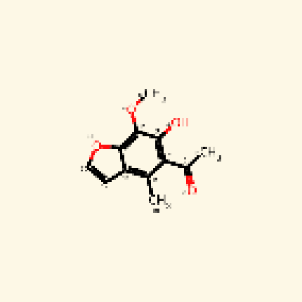 COc1c(O)c(C(C)=O)c(C)c2ccoc12